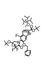 CC(C)[Si](OC[C@@H](Cc1c(Br)cc(OCc2ccccc2)c(N(CC(=O)OC(C)(C)C)C(=O)C(F)(F)F)c1F)NC(=O)OC(C)(C)C)(C(C)C)C(C)C